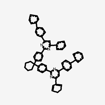 C1=CC(c2cc(-c3ccc(-c4ccccc4)cc3)nc(-c3ccc(C4(c5ccc(-c6nc(-c7ccccc7)cc(-c7ccc(-c8ccccc8)cc7)n6)cc5)CCCCC4)cc3)n2)=CCC1